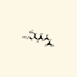 CCC(=O)O[C@H](C)OC(=O)N[C@H](CC(=O)O)C[C@H](C)CC